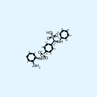 Nc1ccccc1NS(=O)(=O)c1ccc(C(Nc2ccccc2)S(=O)(=O)O)cc1